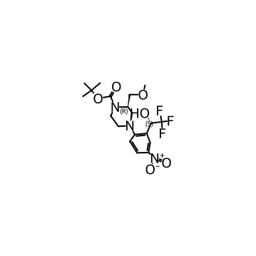 COC[C@H]1CN(c2ccc([N+](=O)[O-])cc2[C@H](O)C(F)(F)F)CCN1C(=O)OC(C)(C)C